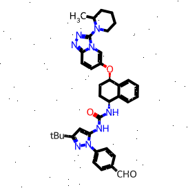 CC1CCCCN1c1nnc2ccc(O[C@@H]3CC[C@H](NC(=O)Nc4cc(C(C)(C)C)nn4-c4ccc(C=O)cc4)c4ccccc43)cn12